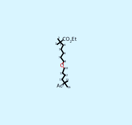 CCOC(=O)C(C)(C)CCCCCOCCCCC(C)(C)C(C)=O